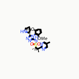 COc1cccc(OC)c1-n1c(NS(=O)(=O)[C@@H](C)[C@H](C)c2ncc(C)cn2)nnc1[C@H]1CCCN1